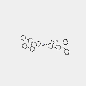 CCC1(CC)c2cc(/C=C/c3ccc(-c4ccc(-c5ccccc5)cc4-c4ccccc4-c4ccccc4)cc3)ccc2-c2ccc(N(c3ccccc3)C3C=CC=CC3)cc21